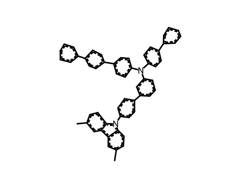 Cc1ccc2c(c1)c1cc(C)ccc1n2-c1ccc(-c2cccc(N(c3ccc(-c4ccccc4)cc3)c3ccc(-c4ccc(-c5ccccc5)cc4)cc3)c2)cc1